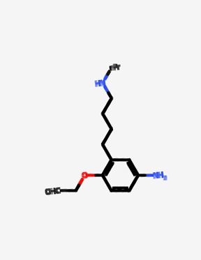 CCCNCCCCc1cc(N)ccc1OCC=O